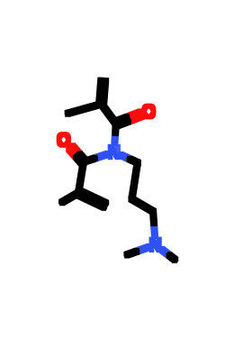 C=C(C)C(=O)N(CCCN(C)C)C(=O)C(=C)C